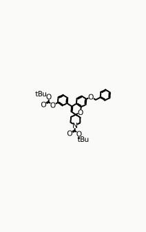 CC(C)(C)OC(=O)Oc1cccc(C2=CC3(CCN(C(=O)OC(C)(C)C)CC3)Oc3cc(OCc4ccccc4)ccc32)c1